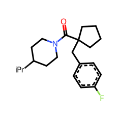 CC(C)C1CCN(C(=O)C2(Cc3ccc(F)cc3)CCCC2)CC1